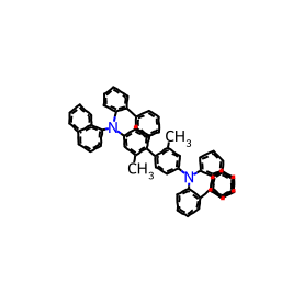 Cc1cc(N(c2ccccc2-c2ccccc2)c2cccc3ccccc23)ccc1-c1ccc(N(c2ccccc2-c2ccccc2)c2cccc3ccccc23)cc1C